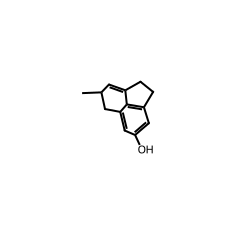 CC1C=C2CCc3cc(O)cc(c32)C1